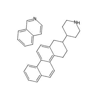 c1ccc2c(c1)ccc1c3c(ccc12)CC(C1CCNCC1)CC3.c1ccc2cnccc2c1